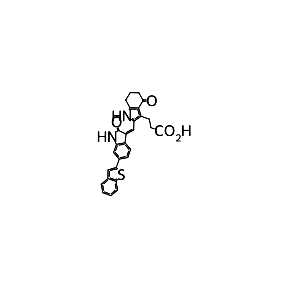 O=C(O)CCc1c(C=C2C(=O)Nc3cc(-c4cc5ccccc5s4)ccc32)[nH]c2c1C(=O)CCC2